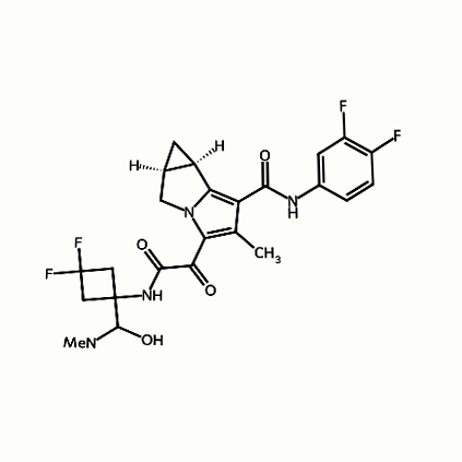 CNC(O)C1(NC(=O)C(=O)c2c(C)c(C(=O)Nc3ccc(F)c(F)c3)c3n2C[C@H]2C[C@@H]32)CC(F)(F)C1